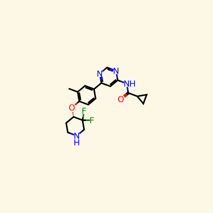 Cc1cc(-c2cc(NC(=O)C3CC3)ncn2)ccc1O[C@H]1CCNCC1(F)F